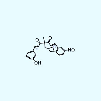 CC(CC1CCC1)(C(=O)/C=C/c1cccc(O)c1)C(=O)/C=C/c1cccc(N=O)c1